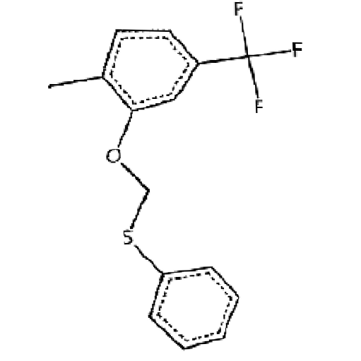 Cc1ccc(C(F)(F)F)cc1OCSc1ccccc1